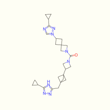 O=C(N1CC(C23CC(Cc4nnc(C5CC5)[nH]4)(C2)C3)C1)N1CC2(CC(n3cnc(C4CC4)n3)C2)C1